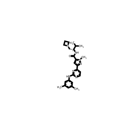 Cc1cc(C)cc(Nc2nccc(-c3cc(C(=O)N[C@H](CN4CCC4)C(C)C)n(C)n3)n2)c1